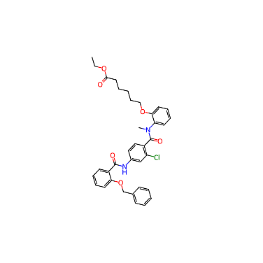 CCOC(=O)CCCCCOc1ccccc1N(C)C(=O)c1ccc(NC(=O)c2ccccc2OCc2ccccc2)cc1Cl